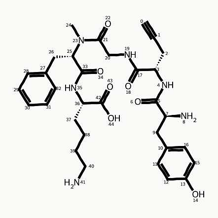 C#CC[C@H](NC(=O)[C@@H](N)Cc1ccc(O)cc1)C(=O)NCC(=O)N(C)[C@@H](Cc1ccccc1)C(=O)N[C@@H](CCCCN)C(=O)O